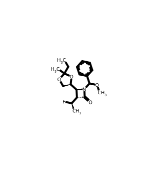 CCC1(C)OC[C@H]([C@@H]2[C@@H]([C@@H](C)F)C(=O)N2C(OC)c2ccccc2)O1